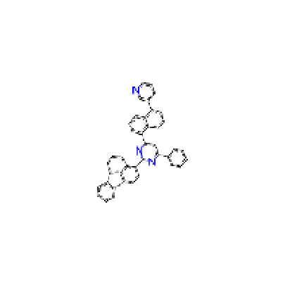 c1ccc(-c2cc(-c3cccc4c(-c5cccnc5)cccc34)nc(-c3ccc4c5c(cccc35)-c3ccccc3-4)n2)cc1